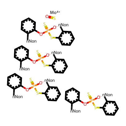 CCCCCCCCCc1ccccc1OP([O-])(=S)Sc1ccccc1CCCCCCCCC.CCCCCCCCCc1ccccc1OP([O-])(=S)Sc1ccccc1CCCCCCCCC.CCCCCCCCCc1ccccc1OP([O-])(=S)Sc1ccccc1CCCCCCCCC.CCCCCCCCCc1ccccc1OP([O-])(=S)Sc1ccccc1CCCCCCCCC.O=S.[Mo+4]